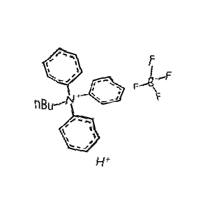 CCCC[N+](c1ccccc1)(c1ccccc1)c1ccccc1.F[B-](F)(F)F.[H+]